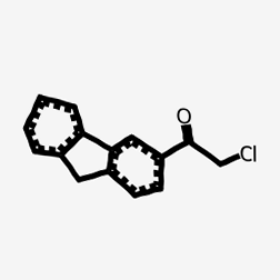 O=C(CCl)c1ccc2c(c1)-c1ccccc1C2